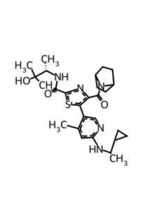 Cc1cc(N[C@H](C)C2CC2)ncc1-c1sc(C(=O)N[C@@H](C)C(C)(C)O)nc1C(=O)N1C2CCC1CC2